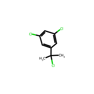 CC(C)(Cl)c1cc(Cl)cc(Cl)c1